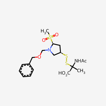 CC(=O)NC(C)(SS[C@@H]1C[C@H](S(C)(=O)=O)N(COCc2ccccc2)C1)C(=O)O